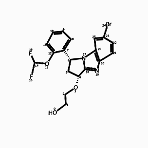 OCCO[C@@H]1C[C@H](c2ccccc2OC(F)F)n2c1nc1ccc(Br)cc12